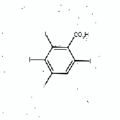 O=C(O)c1c(I)cc(I)c(I)c1I